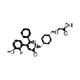 COc1cccc(-c2cc(=O)n(C[C@H]3CC[C@@H](COCC(=O)O)CC3)nc2-c2ccccc2)c1F